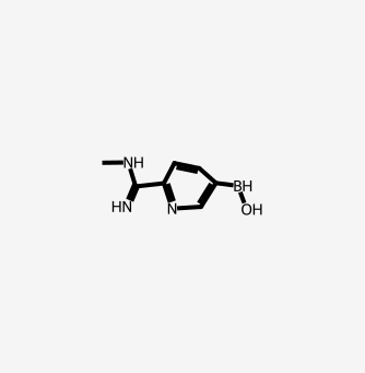 CNC(=N)c1ccc(BO)cn1